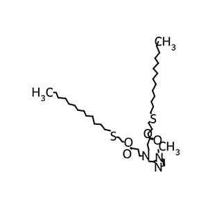 CCCCCCCCCCCCCCSCCOC(=O)CCN(CCC(=O)OCCSCCCCCCCCCCCCCC)Cc1nccn1CC